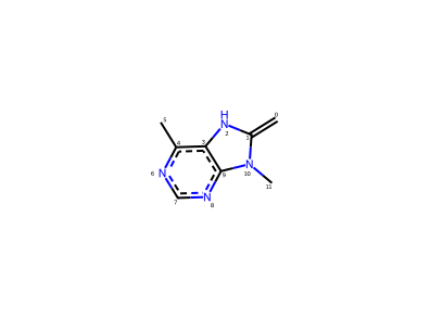 C=C1Nc2c(C)ncnc2N1C